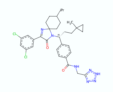 CC(C)C1CCC2(CC1)N=C(c1cc(Cl)cc(Cl)c1)C(=O)N2[C@H](CCC1(C)CC1)c1ccc(C(=O)NCc2nn[nH]n2)cc1